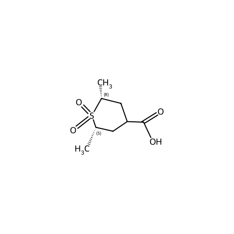 C[C@@H]1CC(C(=O)O)C[C@H](C)S1(=O)=O